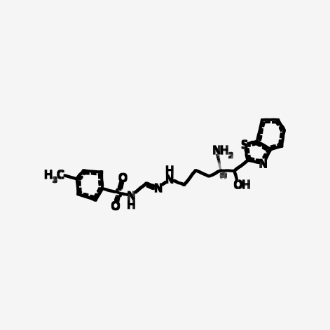 Cc1ccc(S(=O)(=O)NC=NNCCC[C@H](N)C(O)c2nc3ccccc3s2)cc1